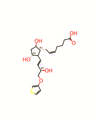 O=C(O)CCC/C=C\C[C@H]1C(O)C[C@@H](O)C1/C=C/[C@@H](O)COc1ccsc1